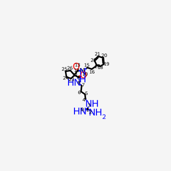 N=C(N)NCCCCNC(=O)C1(C(=O)NCCc2ccccc2)CCCC1